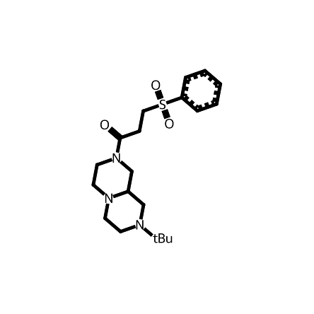 CC(C)(C)N1CCN2CCN(C(=O)CCS(=O)(=O)c3ccccc3)CC2C1